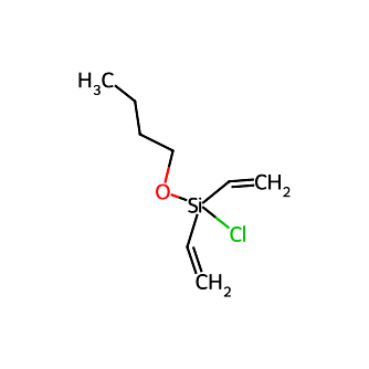 C=C[Si](Cl)(C=C)OCCCC